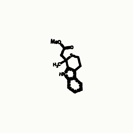 COC(=O)CC1(C)SCCc2c1[nH]c1ccccc21